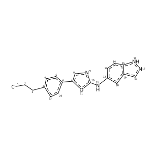 ClCCc1ccc(-c2cnc(Nc3ccc4[nH]ncc4c3)o2)cc1